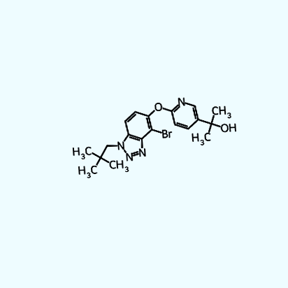 CC(C)(C)Cn1nnc2c(Br)c(Oc3ccc(C(C)(C)O)cn3)ccc21